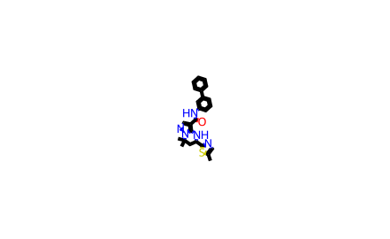 Cc1cnc(C2CC(C)(C)n3ncc(C(=O)Nc4cccc(-c5ccccc5)c4)c3N2)s1